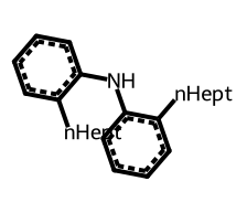 CCCCCCCc1ccccc1Nc1ccccc1CCCCCCC